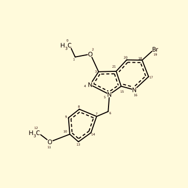 CCOc1nn(Cc2ccc(OC)cc2)c2ncc(Br)cc12